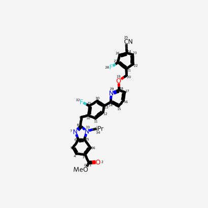 COC(=O)c1ccc2nc(Cc3ccc(-c4cccc(OCc5ccc(C#N)cc5F)n4)cc3F)n(C(C)C)c2c1